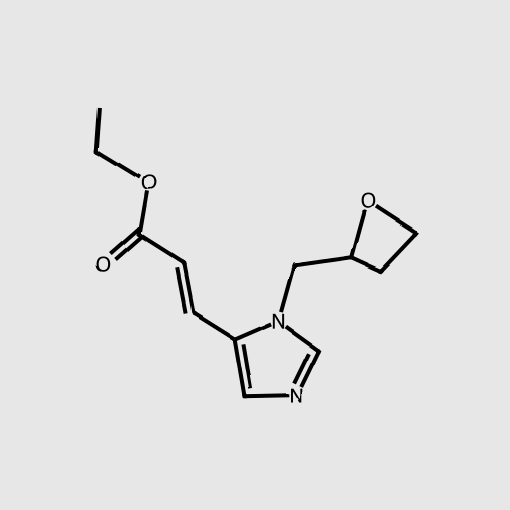 CCOC(=O)/C=C/c1cncn1CC1CCO1